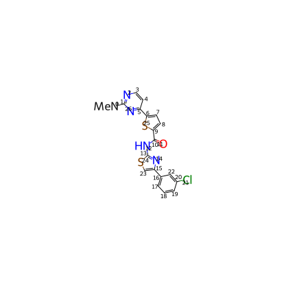 CNc1nccc(-c2ccc(C(=O)Nc3nc(-c4cccc(Cl)c4)cs3)s2)n1